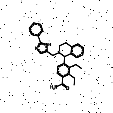 CCc1c(C(N)=O)ccc(C2c3ccccc3CCN2Cc2cnc(-c3ccccc3)[nH]2)c1CC